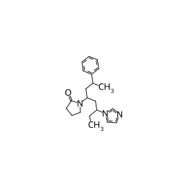 CCC(CC(CC(C)c1ccccc1)N1CCCC1=O)n1ccnc1